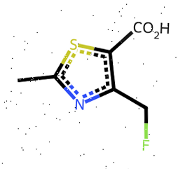 Cc1nc(CF)c(C(=O)O)s1